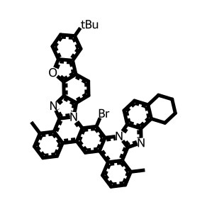 Cc1cccc2c3cc4c5cccc(C)c5c5nc6c7oc8ccc(C(C)(C)C)cc8c7ccc6n5c4c(Br)c3n3c4ccc5c(c4nc3c12)CCCC5